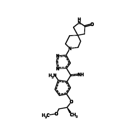 COC[C@H](C)Oc1ccc(N)c(C(=N)c2cc(N3CCC4(CC3)CNC(=O)C4)ncn2)c1